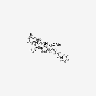 COc1cc2c(NC3=C[N+](CC(N)=O)(c4cccc(F)c4)N=C3)ncnc2cc1OCCCN1CCCCC1